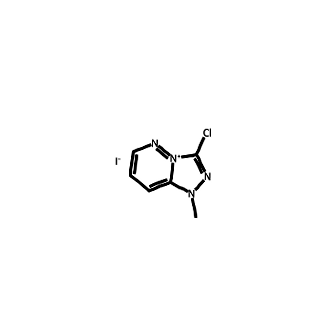 Cn1nc(Cl)[n+]2ncccc12.[I-]